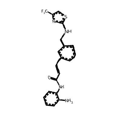 Nc1ccccc1NC(=O)/C=C/c1cccc(CNc2nc(C(F)(F)F)cs2)c1